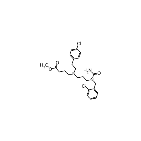 COC(=O)CCCN(CCCN(Cc1ccccc1Cl)C(N)=O)CCc1ccc(Cl)cc1